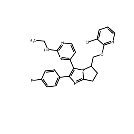 CCNc1nccc(-c2c(-c3ccc(F)cc3)nc3n2C(COc2ncccc2Cl)CC3)n1